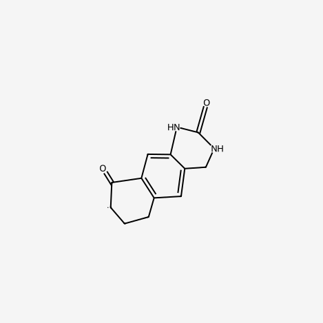 O=C1NCc2cc3c(cc2N1)C(=O)[CH]CC3